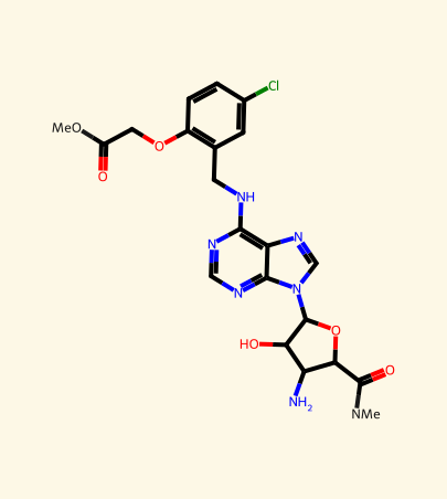 CNC(=O)C1OC(n2cnc3c(NCc4cc(Cl)ccc4OCC(=O)OC)ncnc32)C(O)C1N